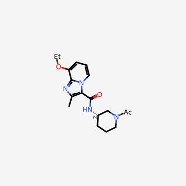 CCOc1cccn2c(C(=O)N[C@H]3CCCN(C(C)=O)C3)c(C)nc12